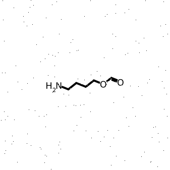 NCCCCOC=O